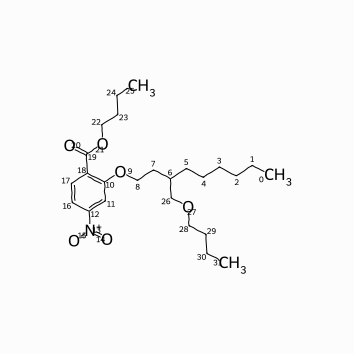 CCCCCCC(CCOc1cc([N+](=O)[O-])ccc1C(=O)OCCCC)COCCCC